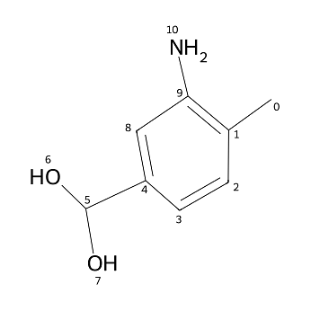 Cc1ccc(C(O)O)cc1N